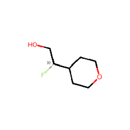 OC[C@@H](F)C1CCOCC1